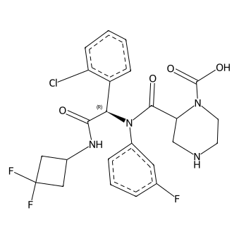 O=C(NC1CC(F)(F)C1)[C@@H](c1ccccc1Cl)N(C(=O)C1CNCCN1C(=O)O)c1cccc(F)c1